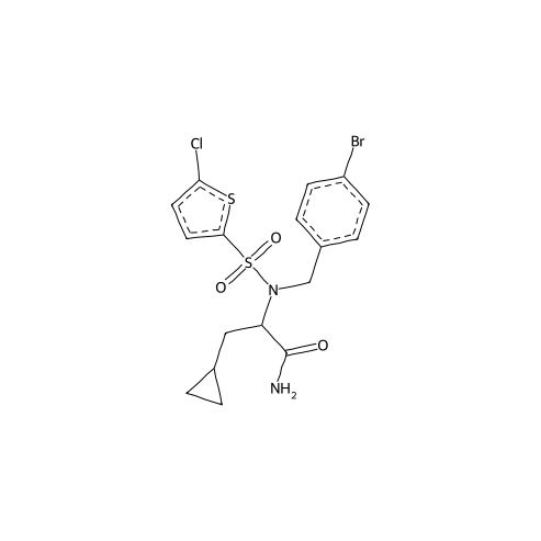 NC(=O)C(CC1CC1)N(Cc1ccc(Br)cc1)S(=O)(=O)c1ccc(Cl)s1